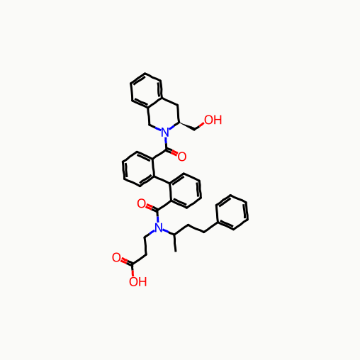 CC(CCc1ccccc1)N(CCC(=O)O)C(=O)c1ccccc1-c1ccccc1C(=O)N1Cc2ccccc2C[C@H]1CO